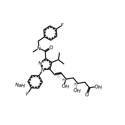 CC(C)c1c(C(=O)N(C)Cc2ccc(F)cc2)nn(-c2ccc(F)cc2)c1/C=C/[C@H](O)C[C@@H](O)CC(=O)O.[NaH]